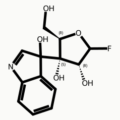 OC[C@H]1OC(F)[C@H](O)[C@@]1(O)C1(O)C=Nc2ccccc21